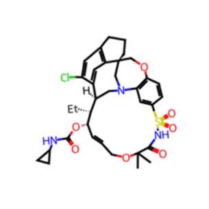 CC[C@H]1[C@@H](OC(=O)NC2CC2)/C=C/COC(C)(C)C(=O)NS(=O)(=O)c2ccc3c(c2)N2C[C@@H]1c1cc4c(cc1Cl)CCC[C@@]4(CO3)C2